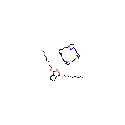 C1=Cc2cc3ccc(cc4nc(cc5ccc(cc1n2)[nH]5)C=C4)[nH]3.CCCCCCCCOC(=O)c1ccccc1C(=O)OCCCCCCCC